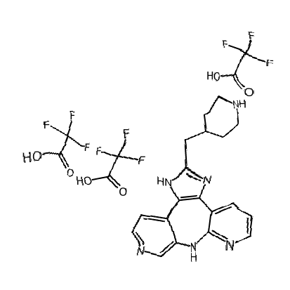 O=C(O)C(F)(F)F.O=C(O)C(F)(F)F.O=C(O)C(F)(F)F.c1cnc2c(c1)-c1nc(CC3CCNCC3)[nH]c1-c1ccncc1N2